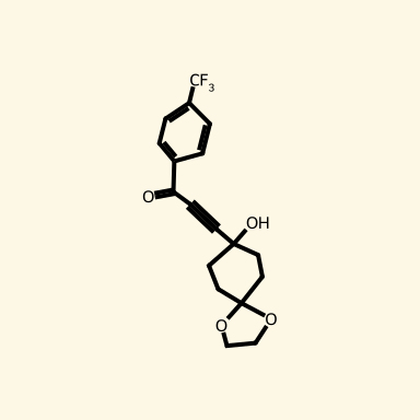 O=C(C#CC1(O)CCC2(CC1)OCCO2)c1ccc(C(F)(F)F)cc1